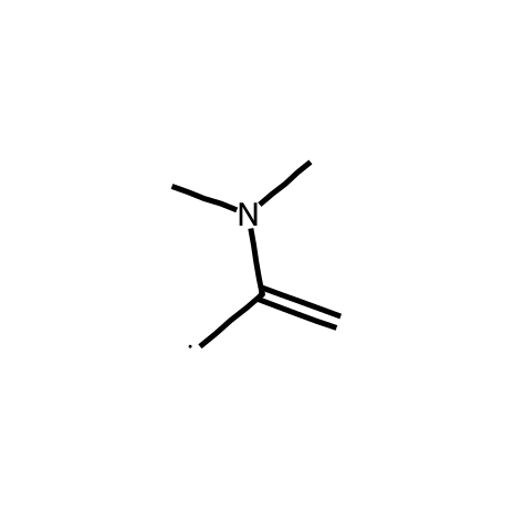 [CH2]C(=C)N(C)C